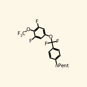 CCCCCc1ccc(C(F)(F)Oc2cc(F)c(OC(F)(F)F)c(F)c2)cc1